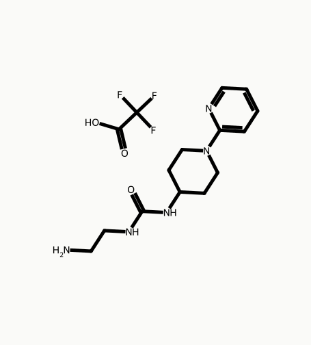 NCCNC(=O)NC1CCN(c2ccccn2)CC1.O=C(O)C(F)(F)F